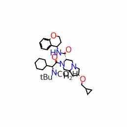 CC(C)(C)N(C(=O)O)[C@H](C(=O)N1C[C@H]2C[C@@H](OCC3CC3)CN2C[C@H]1C(=O)N[C@@H]1CCOc2ccccc21)C1CCCCC1